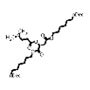 CCCCCCCCCCCCCCCCOC(=O)C[C@H](OC(=O)CCN(C)C)C(=O)OCCCCCCCCCCCCCCCC